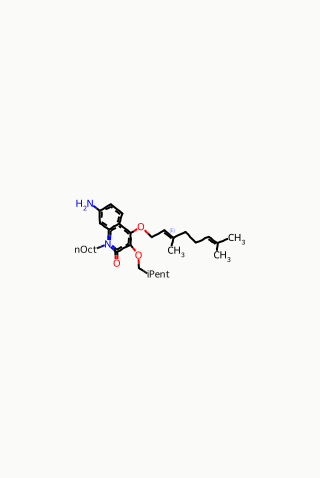 CCCCCCCCn1c(=O)c(OCC(C)CCC)c(OC/C=C(\C)CCC=C(C)C)c2ccc(N)cc21